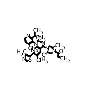 C=CC(=O)N1C[C@H](C)N(c2nc(=O)n(-c3c(C)ccnc3C(C)C)c3nc(-c4scnc4C)c(Cl)cc23)C[C@H]1C